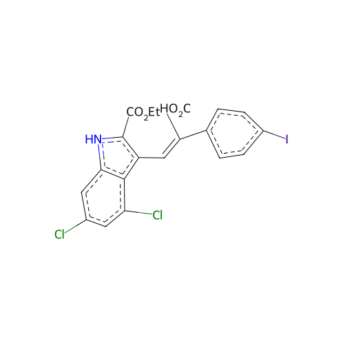 CCOC(=O)c1[nH]c2cc(Cl)cc(Cl)c2c1C=C(C(=O)O)c1ccc(I)cc1